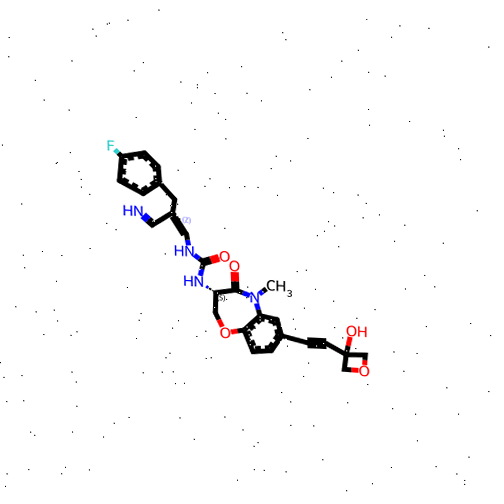 CN1C(=O)[C@@H](NC(=O)N/C=C(\C=N)Cc2ccc(F)cc2)COc2ccc(C#CC3(O)COC3)cc21